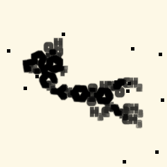 C=CC(=O)Nc1cc(N(C)CCN(C)C)cc(S(=O)(=O)c2ccc(N3CC(CN4CCC([C@@](CN5CCC5)(c5cccc(F)c5)[C@H]5CCC[C@@H]5NC(=O)O)CC4)C3)cc2)c1